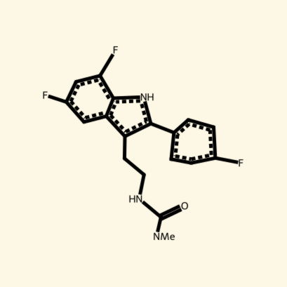 CNC(=O)NCCc1c(-c2ccc(F)cc2)[nH]c2c(F)cc(F)cc12